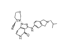 CC(C)CN1Cc2ccc(Nc3nn([C@H]4COCC[C@@H]4C#N)c4cc[nH]c(=O)c34)cc2C1